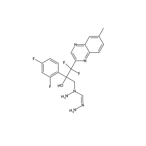 Cc1ccc2nc(C(F)(F)C(O)(CN(N)/C=N\N)c3ccc(F)cc3F)cnc2c1